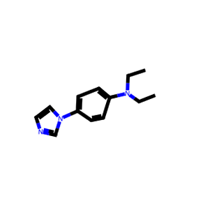 CCN(CC)c1ccc(-n2[c]ncc2)cc1